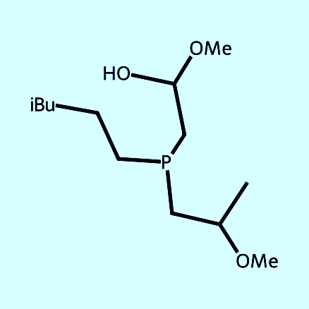 CCC(C)CCP(CC(C)OC)CC(O)OC